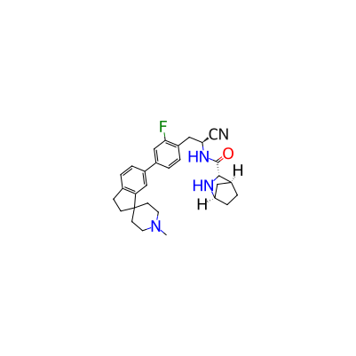 CN1CCC2(CCc3ccc(-c4ccc(C[C@@H](C#N)NC(=O)[C@H]5N[C@@H]6CC[C@H]5C6)c(F)c4)cc32)CC1